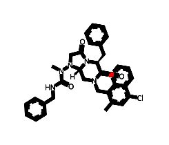 Cc1cc(Cl)c2cccnc2c1CN1C[C@H]2N(C(=O)CN2N(C)C(=O)NCc2ccccc2)[C@@H](Cc2ccccc2)C1=C=O